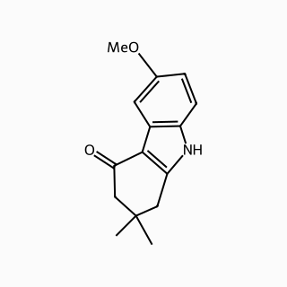 COc1ccc2[nH]c3c(c2c1)C(=O)CC(C)(C)C3